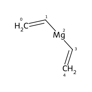 C=[CH][Mg][CH]=C